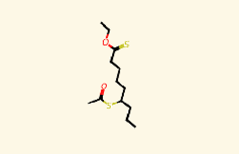 CCCC(CCCCC(=S)OCC)SC(C)=O